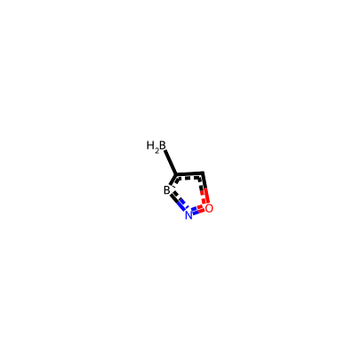 Bc1bnoc1